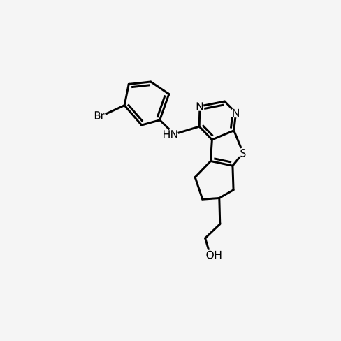 OCCC1CCc2c(sc3ncnc(Nc4cccc(Br)c4)c23)C1